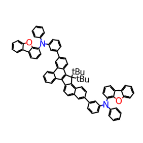 CC(C)(C)C1(C(C)(C)C)c2c(ccc3cc(-c4cccc(N(c5ccccc5)c5cccc6c5oc5ccccc56)c4)ccc23)-c2c1c1ccc(-c3cccc(N(c4ccccc4)c4cccc5c4oc4ccccc45)c3)cc1c1ccccc21